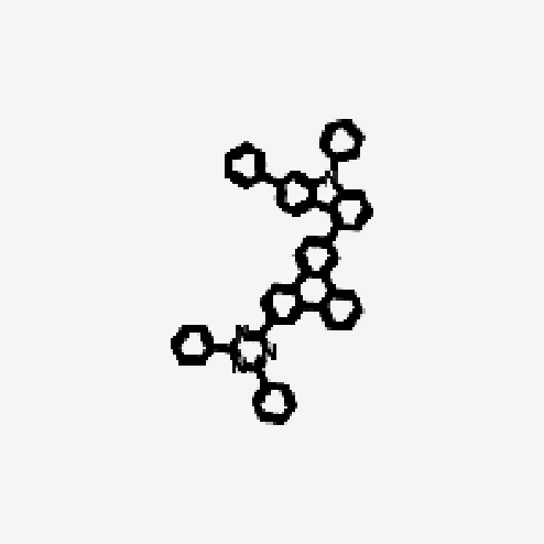 c1ccc(-c2ccc3c4c(-c5ccc6c7ccc(-c8nc(-c9ccccc9)nc(-c9ccccc9)n8)cc7c7ccccc7c6c5)cccc4n(-c4ccccc4)c3c2)cc1